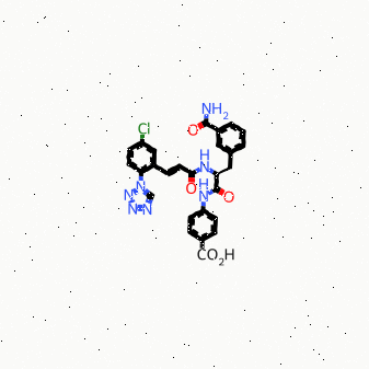 NC(=O)c1cccc(C[C@H](NC(=O)/C=C/c2cc(Cl)ccc2-n2cnnn2)C(=O)Nc2ccc(C(=O)O)cc2)c1